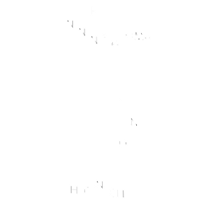 CO[C@H](c1ccc(-c2ccc(OCCCN(C)C)nc2)cc1)[C@@H](CF)N=[N+]=[N-]